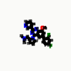 COc1cc(-c2ccc(F)cc2F)cc2c(N3CCCC3CN(C)C)nc(-c3cccnc3)nc12